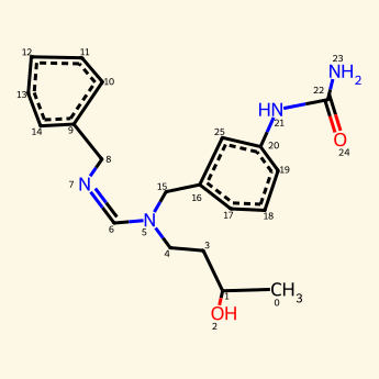 CC(O)CCN(/C=N\Cc1ccccc1)Cc1cccc(NC(N)=O)c1